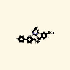 C#C/C=C\C(=C/C)n1c(-c2ccc(-c3ccccc3)cc2)nnc1-c1ccc(C(C)(C)C)cc1